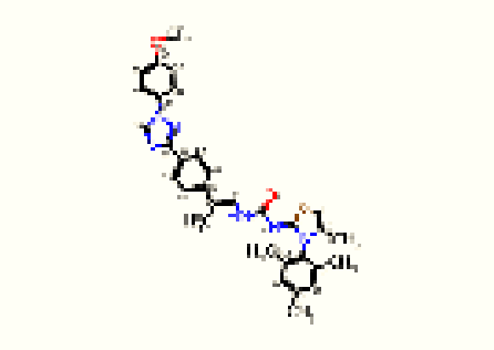 C/C(=C\NC(=O)/N=c1\scc(C)n1-c1c(C)cc(C)cc1C)c1ccc(-c2ncn(-c3ccc(OC(F)(F)F)cc3)n2)cc1